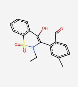 CCN1C(c2cc(C)ccc2C=O)=C(O)c2ccccc2S1(=O)=O